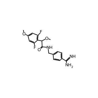 COc1cc(F)c(C(OC)C(=O)NCc2ccc(C(=N)N)cc2)c(F)c1